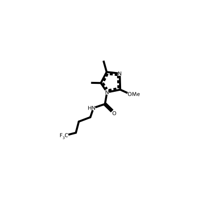 COc1nc(C)c(C)n1C(=O)NCCCC(F)(F)F